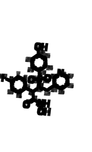 O=C(NO)C(c1ccc(F)cc1)N(Cc1cccnc1)S(=O)(=O)c1ccc(O)cc1